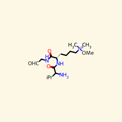 CO[N+](C)(C)CCCC[C@H](NC(=O)C(N)C(C)C)C(=O)NCC=O